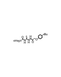 CCCCCCCC(=O)NC(=S)NNC(=O)COc1ccc(C(C)CC)cc1